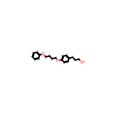 OCCCc1ccc(OCCCCOc2ccccc2)cc1